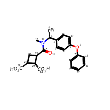 CCC[C@@H](c1ccc(Oc2ccccc2)cc1)N(C)C(=O)C1CC(C(=O)O)C1C(=O)O